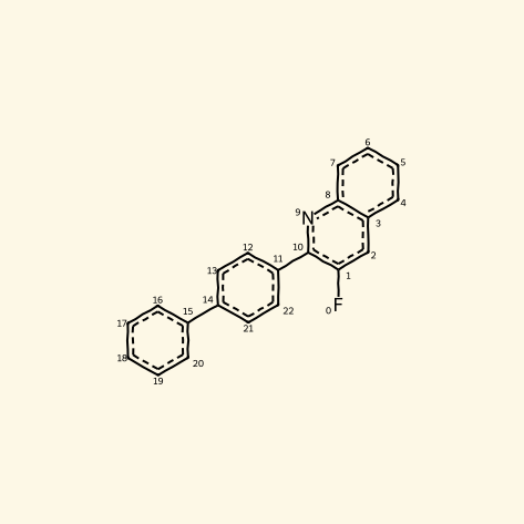 Fc1cc2ccccc2nc1-c1ccc(-c2ccccc2)cc1